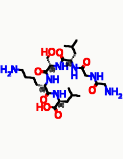 CC(C)C[C@H](NC(=O)[C@H](CCCCN)NC(=O)[C@H](CO)NC(=O)[C@H](CC(C)C)NC(=O)CNC(=O)CN)C(=O)O